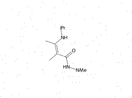 CNNC(=O)/C(C)=C(/C)NC(C)C